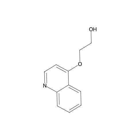 OCCOc1ccnc2ccccc12